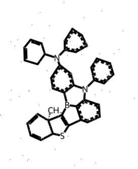 C[C@@]12C=CC=CC1SC1=C2B2c3ccc(N(c4ccccc4)C4C=CC=CC4)cc3N(c3ccccc3)c3cccc1c32